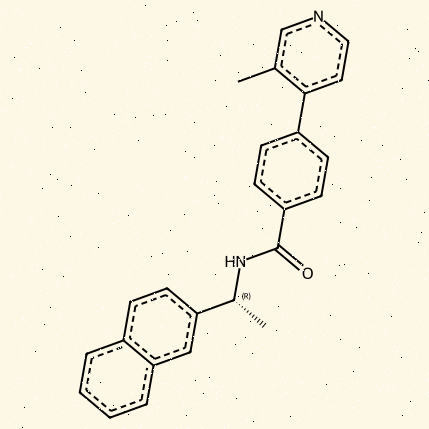 Cc1cnccc1-c1ccc(C(=O)N[C@H](C)c2ccc3ccccc3c2)cc1